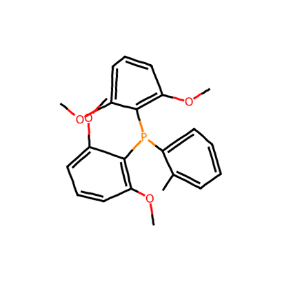 COc1cccc(OC)c1P(c1ccccc1C)c1c(OC)cccc1OC